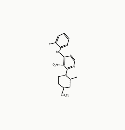 CCOC(=O)C1CCN(c2ncnc(Nc3ccccc3F)c2[N+](=O)[O-])C(I)C1